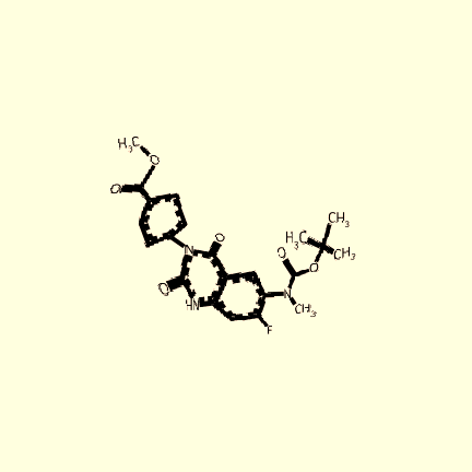 COC(=O)c1ccc(-n2c(=O)[nH]c3cc(F)c(N(C)C(=O)OC(C)(C)C)cc3c2=O)cc1